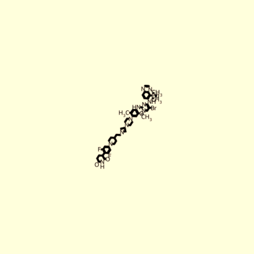 COc1cc(N2CCN(C3CN(CCC4CCN(c5cc(F)c(C6CCC(=O)NC6=O)c(F)c5)CC4)C3)CC2)c(C)cc1Nc1ncc(Br)c(Nc2ccc3nccnc3c2P(C)(C)=O)n1